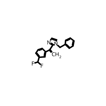 C=C(c1cccc(C(F)F)c1)c1nccn1Cc1ccccc1